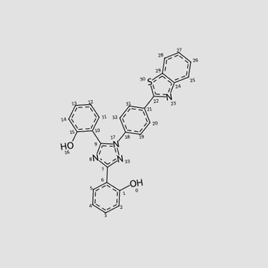 Oc1ccccc1-c1nc(-c2ccccc2O)n(-c2ccc(-c3nc4ccccc4s3)cc2)n1